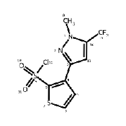 Cn1nc(-c2ccsc2S(=O)(=O)Cl)cc1C(F)(F)F